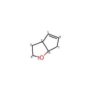 C1=CC2CCOC2C1